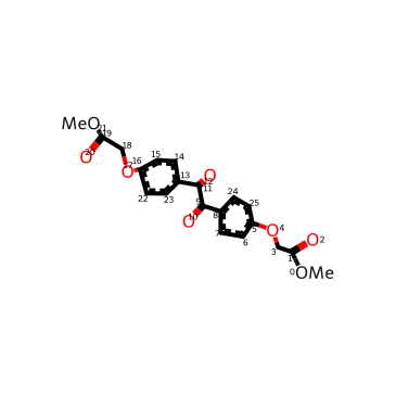 COC(=O)COc1ccc(C(=O)C(=O)c2ccc(OCC(=O)OC)cc2)cc1